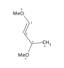 COC=CC(C)OC